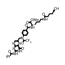 C#CCCCC(=O)NCCCC[C@H](NC(=O)c1ccc(N(Cc2cnc3nc(NC(=O)C(C)C)[nH]c(=O)c3n2)C(=O)C(F)(F)F)cc1)C(=O)OC